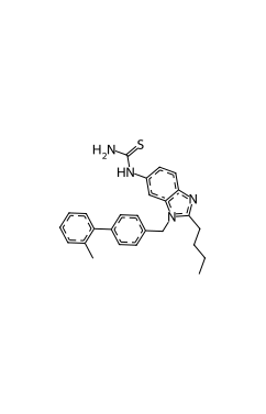 CCCCc1nc2ccc(NC(N)=S)cc2n1Cc1ccc(-c2ccccc2C)cc1